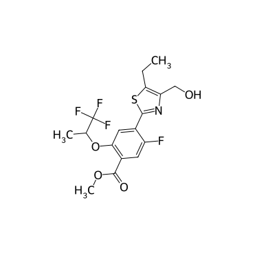 CCc1sc(-c2cc(OC(C)C(F)(F)F)c(C(=O)OC)cc2F)nc1CO